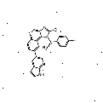 Cc1nc2cnc3ccc(-c4cnc5[nH]ccc5c4)cc3c2n1[C@H](C)c1ccc(F)cc1